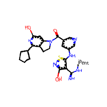 CCCC(C)NC(=N)c1c(O)nsc1Nc1cncc(C(=O)N2CCc3c2cc(O)nc3C2CCCC2)c1